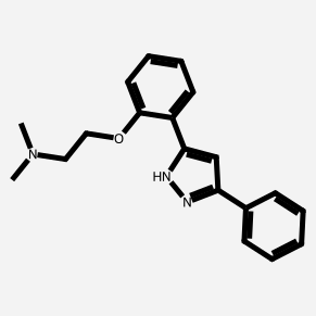 CN(C)CCOc1ccccc1-c1cc(-c2ccccc2)n[nH]1